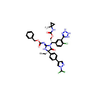 CC(C)(C)C[C@]1(c2ccc(-c3cnn(C(F)F)c3)cc2)N/C(=N\C(=O)OCc2ccccc2)N([C@H](COC(=O)NC2(C(F)(F)F)CC2)c2ccc(Cl)c(C3=NNNN3)c2)C1=O